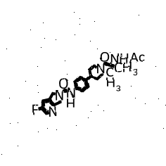 CC(=O)NC(C)(C)C(=O)N1CCC(c2ccc(NC(=O)N3Cc4cc(F)cnc4C3)cc2)CC1